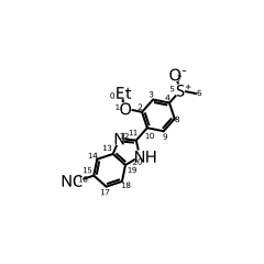 CCOc1cc([S+](C)[O-])ccc1-c1nc2cc(C#N)ccc2[nH]1